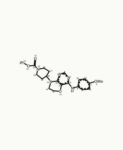 COc1ccc(Nc2ncnc3c2OCCN3C2CCN(C(=O)OC(C)C)CC2)cc1